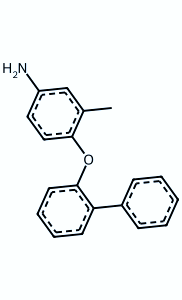 Cc1cc(N)ccc1Oc1ccccc1-c1ccccc1